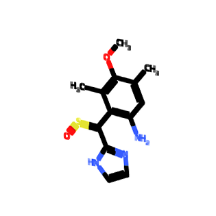 COc1c(C)cc(N)c(C(=S=O)c2ncc[nH]2)c1C